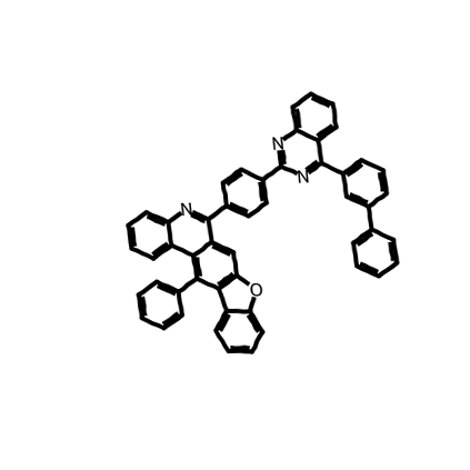 c1ccc(-c2cccc(-c3nc(-c4ccc(-c5nc6ccccc6c6c(-c7ccccc7)c7c(cc56)oc5ccccc57)cc4)nc4ccccc34)c2)cc1